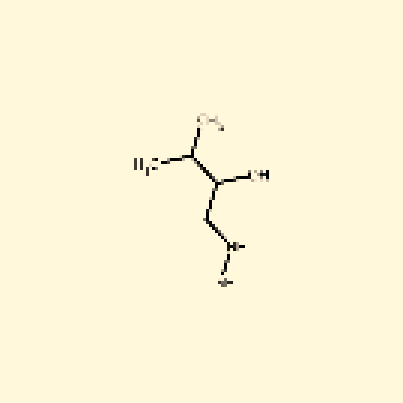 CC(C)C(O)CNS